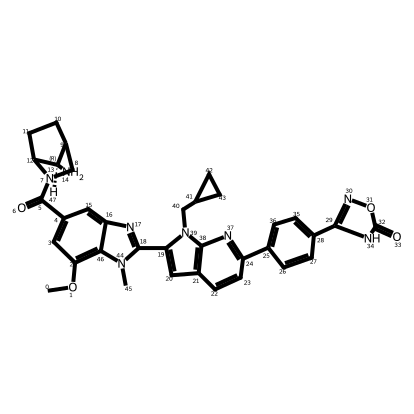 COc1cc(C(=O)N2CC3CCC2[C@@H]3N)cc2nc(-c3cc4ccc(-c5ccc(-c6noc(=O)[nH]6)cc5)nc4n3CC3CC3)n(C)c12